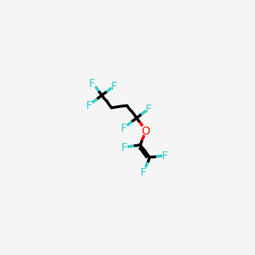 FC(F)=C(F)OC(F)(F)CCC(F)(F)F